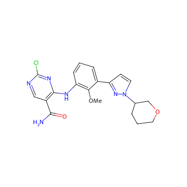 COc1c(Nc2nc(Cl)ncc2C(N)=O)cccc1-c1ccn(C2CCCOC2)n1